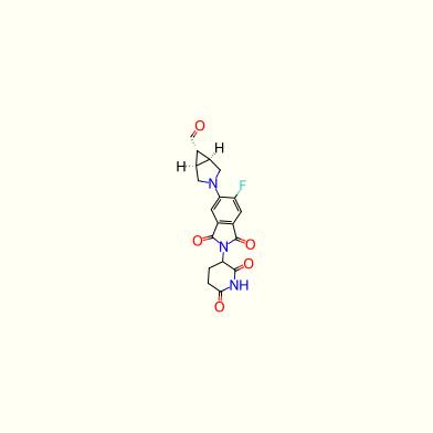 O=C[C@@H]1[C@H]2CN(c3cc4c(cc3F)C(=O)N(C3CCC(=O)NC3=O)C4=O)C[C@@H]12